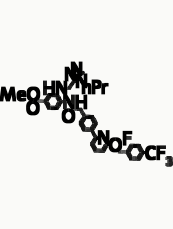 CCCn1cnnc1CNc1cc(C(=O)OC)ccc1NC(=O)Cc1ccc(-c2cccc(OCc3ccc(C(F)(F)F)cc3F)n2)cc1